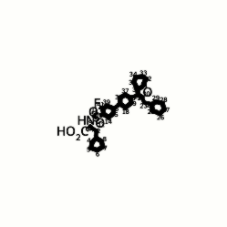 O=C(O)[C@H](Cc1ccccc1)NS(=O)(=O)c1ccc(-c2ccc(-c3c(Cc4ccccc4)oc4ccccc34)cc2)cc1F